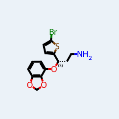 NCC[C@H](Oc1cccc2c1OCO2)c1ccc(Br)s1